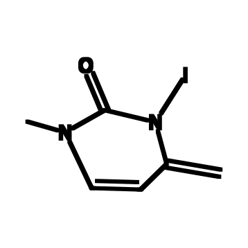 C=C1C=CN(C)C(=O)N1I